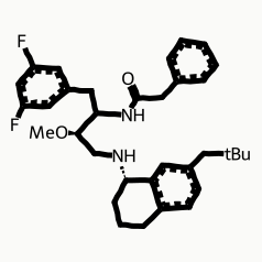 CO[C@H](CN[C@H]1CCCc2ccc(CC(C)(C)C)cc21)C(Cc1cc(F)cc(F)c1)NC(=O)Cc1ccccc1